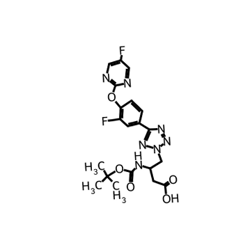 CC(C)(C)OC(=O)NC(CC(=O)O)Cn1nnc(-c2ccc(Oc3ncc(F)cn3)c(F)c2)n1